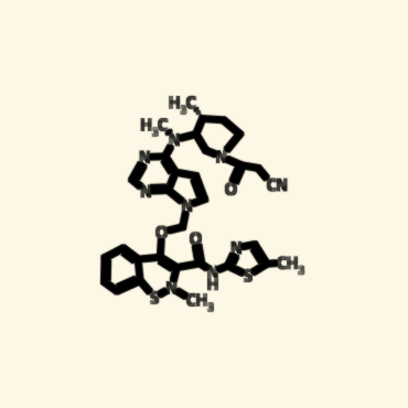 Cc1cnc(NC(=O)C2=C(OCn3ccc4c(N(C)C5CN(C(=O)CC#N)CC[C@H]5C)ncnc43)c3ccccc3SN2C)s1